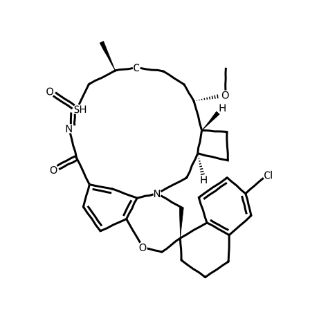 CO[C@H]1CCC[C@H](C)C/[SH](=O)=N\C(=O)c2ccc3c(c2)N(C[C@@H]2CC[C@H]21)C[C@@]1(CCCc2cc(Cl)ccc21)CO3